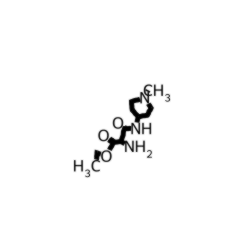 CCOC(=O)C(N)C(=O)NC1CCN(C)CC1